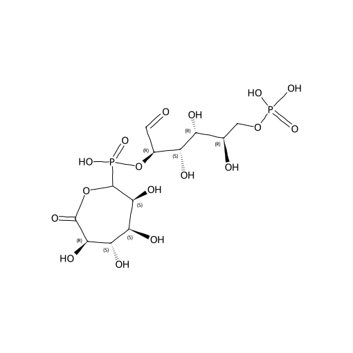 O=C[C@H](OP(=O)(O)C1OC(=O)[C@H](O)[C@@H](O)[C@H](O)[C@@H]1O)[C@@H](O)[C@H](O)[C@H](O)COP(=O)(O)O